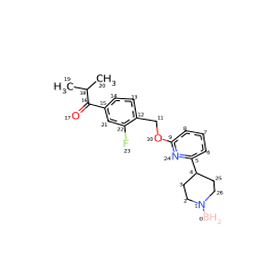 BN1CCC(c2cccc(OCc3ccc(C(=O)C(C)C)cc3F)n2)CC1